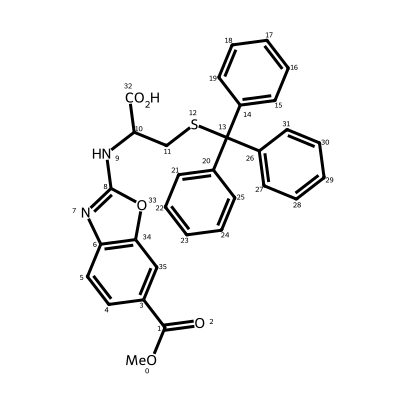 COC(=O)c1ccc2nc(NC(CSC(c3ccccc3)(c3ccccc3)c3ccccc3)C(=O)O)oc2c1